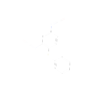 O=C=Nc1ccc(Sc2ccccc2)c(N=C=O)c1